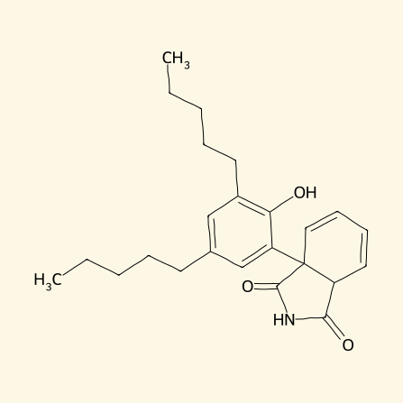 CCCCCc1cc(CCCCC)c(O)c(C23C=CC=CC2C(=O)NC3=O)c1